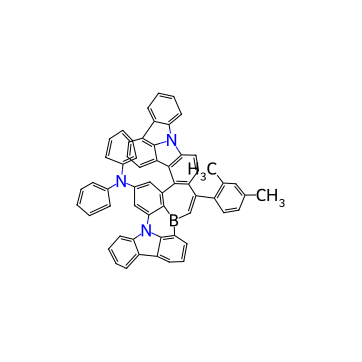 Cc1ccc(C2=CB3c4c(cc(N(c5ccccc5)c5ccccc5)cc4-n4c5ccccc5c5cccc3c54)-c3c2ccc2c3c3cccc4c5ccccc5n2c43)c(C)c1